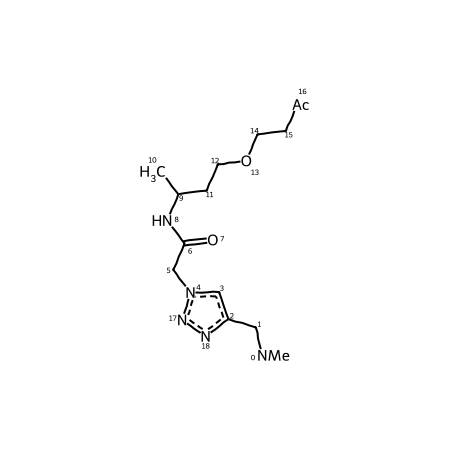 CNCc1cn(CC(=O)NC(C)CCOCCC(C)=O)nn1